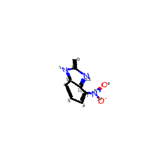 C=C1N=c2cccc([N+](=O)[O-])c2=N1